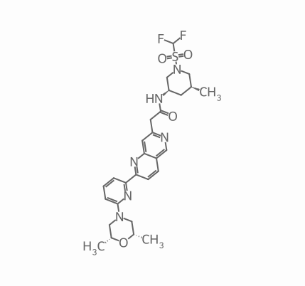 C[C@H]1C[C@@H](NC(=O)Cc2cc3nc(-c4cccc(N5C[C@@H](C)O[C@@H](C)C5)n4)ccc3cn2)CN(S(=O)(=O)C(F)F)C1